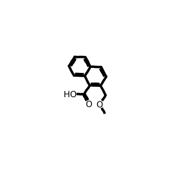 COCc1ccc2ccccc2c1C(=O)O